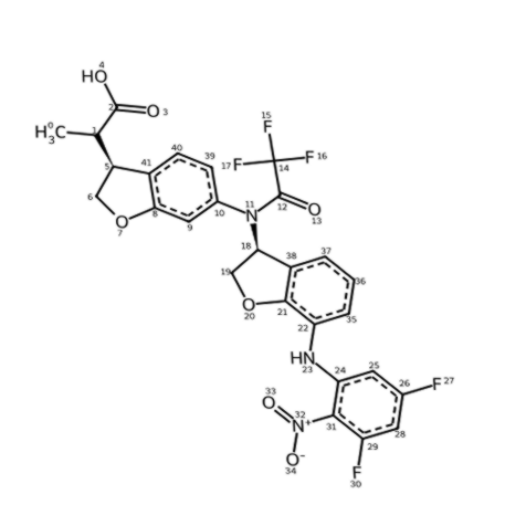 CC(C(=O)O)[C@@H]1COc2cc(N(C(=O)C(F)(F)F)[C@@H]3COc4c(Nc5cc(F)cc(F)c5[N+](=O)[O-])cccc43)ccc21